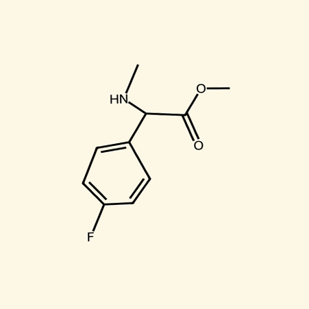 CNC(C(=O)OC)c1ccc(F)cc1